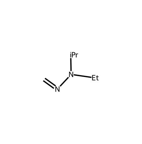 C=NN(CC)C(C)C